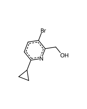 OCc1nc(C2CC2)ccc1Br